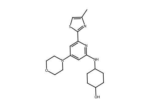 Cc1csc(-c2cc(N3CCOCC3)cc(NC3CCC(O)CC3)n2)n1